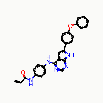 C=CC(=O)Nc1ccc(Nc2ncnc3[nH]c(-c4ccc(Oc5ccccc5)cc4)cc23)cc1